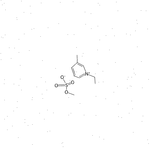 CC[n+]1cccc(C)c1.COS(=O)(=O)[O-]